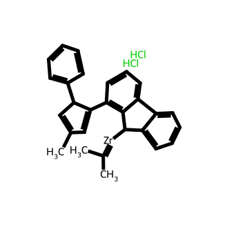 CC1=CC(c2ccccc2)C(c2cccc3c2[CH]([Zr]=[C](C)C)c2ccccc2-3)=C1.Cl.Cl